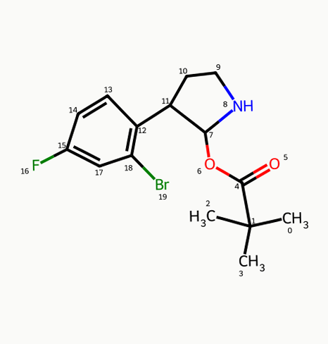 CC(C)(C)C(=O)OC1NCCC1c1ccc(F)cc1Br